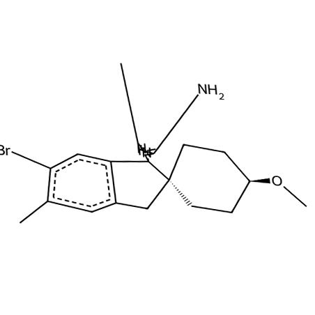 CO[C@H]1CC[C@]2(CC1)Cc1cc(C)c(Br)cc1C21N=C(C)C(N)=N1